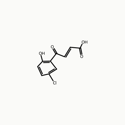 O=C(O)/C=C/C(=O)c1cc(Cl)ccc1O